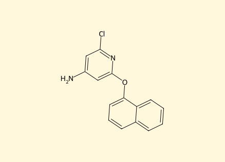 Nc1cc(Cl)nc(Oc2cccc3ccccc23)c1